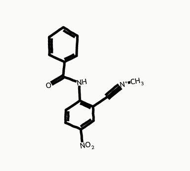 C[N+]#Cc1cc([N+](=O)[O-])ccc1NC(=O)c1ccccc1